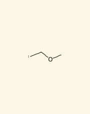 [CH]COC